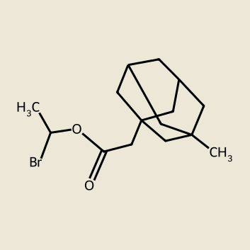 CC(Br)OC(=O)CC12CC3CC(CC(C)(C3)C1)C2